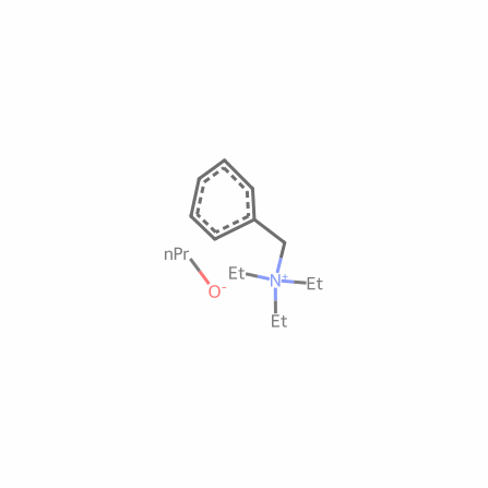 CCC[O-].CC[N+](CC)(CC)Cc1ccccc1